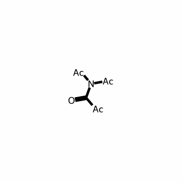 CC(=O)C(=O)N(C(C)=O)C(C)=O